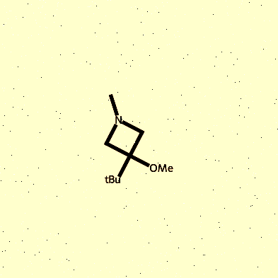 COC1(C(C)(C)C)CN(C)C1